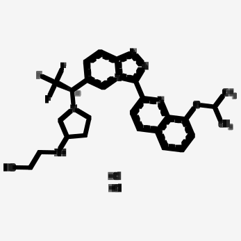 CC(C)Oc1cccc2ccc(-c3nnc4ccc([C@@H](N5CCC(NCCO)C5)C(F)(F)F)cn34)nc12.Cl.Cl